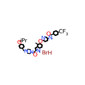 Br.Cc1c(Oc2ccc(N(C)C(=O)c3ccc(C(F)(F)F)cc3)cn2)ccc2c1cc(C(=O)N1CCN(Cc3ccc(OC(C)C)cc3)CC1)n2C